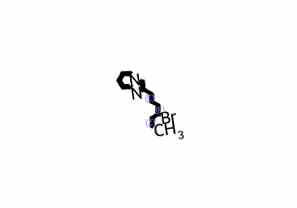 C\C=C/C(Br)=C\C=C\c1cn2ccccc2n1